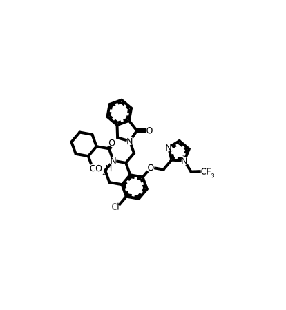 O=C(O)C1CCCCC1C(=O)N1CCc2c(Cl)ccc(OCc3nccn3CC(F)(F)F)c2C1CN1Cc2ccccc2C1=O